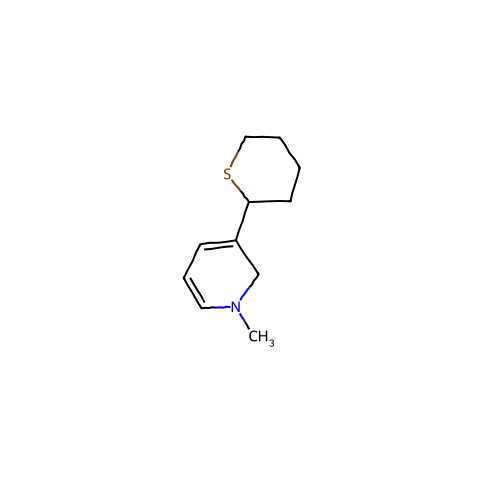 CN1C=CC=C(C2CCCCS2)C1